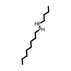 CCCCCCCCPPCCCC